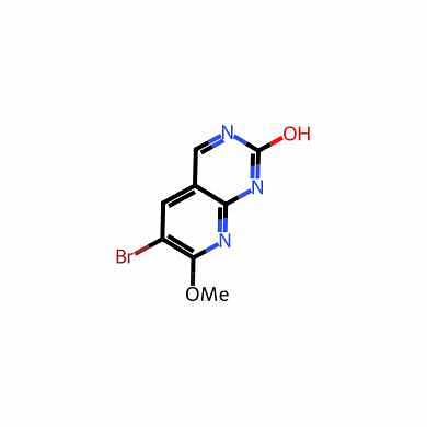 COc1nc2nc(O)ncc2cc1Br